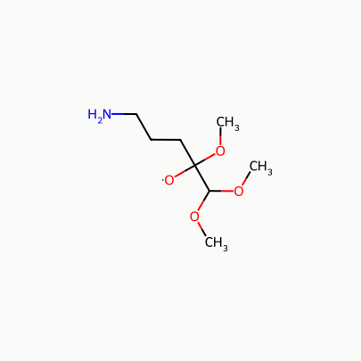 COC(OC)C([O])(CCCN)OC